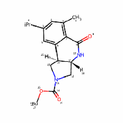 Cc1cc(C(C)C)cc2c1C(=O)N[C@@H]1CN(C(=O)OC(C)(C)C)C[C@@H]21